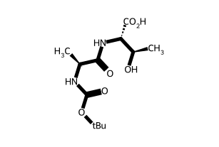 C[C@H](NC(=O)OC(C)(C)C)C(=O)N[C@H](C(=O)O)[C@@H](C)O